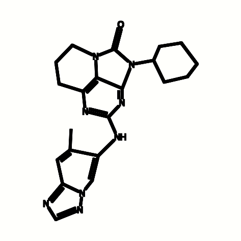 Cc1cc2ncnn2cc1Nc1nc2c3c(n1)n(C1CCCCC1)c(=O)n3CCC2